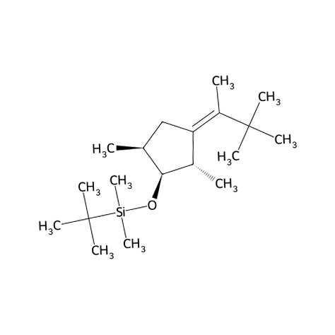 C/C(=C1\C[C@H](C)[C@H](O[Si](C)(C)C(C)(C)C)[C@H]1C)C(C)(C)C